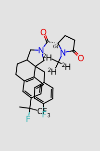 [2H]C([2H])([2H])N1C(=O)CC[C@H]1C(=O)N1CC2CCc3cc(C(C)(F)C(F)(F)F)ccc3C2(Cc2ccc(F)cc2)C1